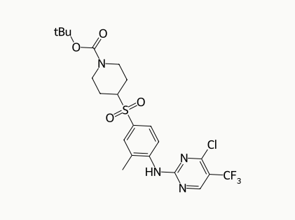 Cc1cc(S(=O)(=O)C2CCN(C(=O)OC(C)(C)C)CC2)ccc1Nc1ncc(C(F)(F)F)c(Cl)n1